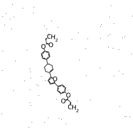 C=CC(=O)Oc1ccc(-c2ccc(C3=CCC(c4ccc(OC(=O)C=C)cc4)CC3)o2)cc1